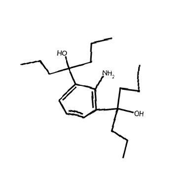 CCCC(O)(CCC)c1cccc(C(O)(CCC)CCC)c1N